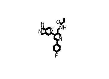 C=CC(=O)NCc1cnc(-c2ccc(F)cc2)cc1-c1cc2cn[nH]c2cn1